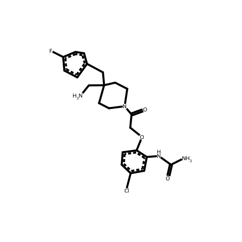 NCC1(Cc2ccc(F)cc2)CCN(C(=O)COc2ccc(Cl)cc2NC(N)=O)CC1